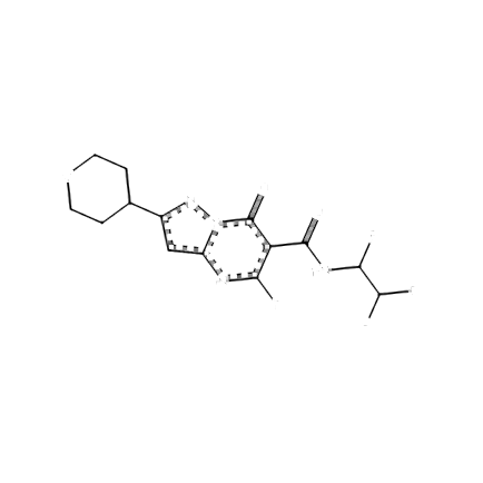 O=C(NC(F)C(F)F)c1c(F)[nH]c2cc(C3CCOCC3)nn2c1=O